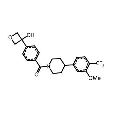 COc1cc(C2CCN(C(=O)c3ccc(C4(O)COC4)cc3)CC2)ccc1C(F)(F)F